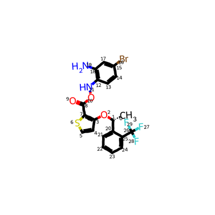 C[C@@H](Oc1ccsc1C(=O)ONc1ccc(Br)cc1N)c1ccccc1C(F)(F)F